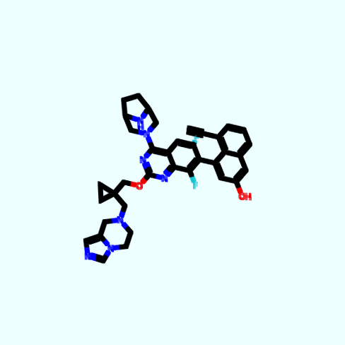 C#Cc1cccc2cc(O)cc(-c3c(F)cc4c(N5CC6CCC(C5)N6)nc(OCC5(CN6CCn7cncc7C6)CC5)nc4c3F)c12